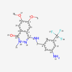 COc1cc2c(NCc3cc(N)cc(C(F)(F)F)c3)nn(C)c(=O)c2cc1OC